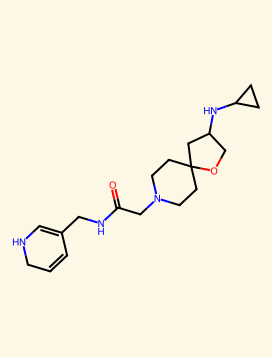 O=C(CN1CCC2(CC1)CC(NC1CC1)CO2)NCC1=CNCC=C1